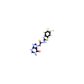 Cn1cnc2ncn(CC(=O)Nc3nc4cc(F)c(F)cc4s3)c2c1=O